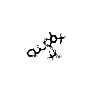 Cc1cc(C(F)(F)F)cc2c(=O)n(CC(=O)CC3CCCCN3)cnc12.O=C(O)C(F)(F)F